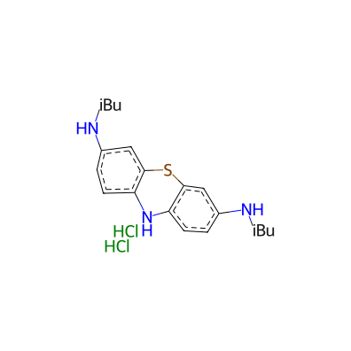 CCC(C)Nc1ccc2c(c1)Sc1cc(NC(C)CC)ccc1N2.Cl.Cl